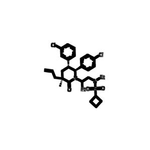 C=CC[C@@]1(C)C[C@H](c2cccc(Cl)c2)[C@@H](c2ccc(Cl)cc2)N(C(CC)CN(CC)S(=O)(=O)C2CCC2)C1=O